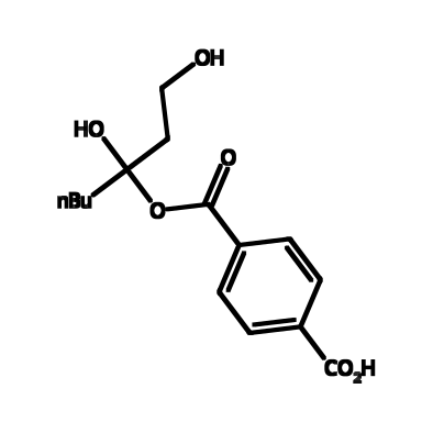 CCCCC(O)(CCO)OC(=O)c1ccc(C(=O)O)cc1